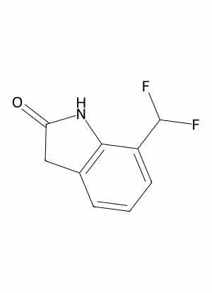 O=C1Cc2cccc(C(F)F)c2N1